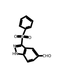 O=Cc1ccc2[nH]nc(S(=O)(=O)c3ccccc3)c2c1